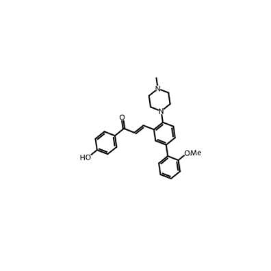 COc1ccccc1-c1ccc(N2CCN(C)CC2)c(C=CC(=O)c2ccc(O)cc2)c1